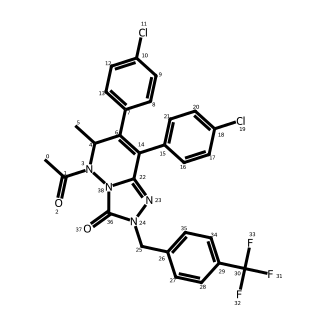 CC(=O)N1C(C)C(c2ccc(Cl)cc2)=C(c2ccc(Cl)cc2)c2nn(Cc3ccc(C(F)(F)F)cc3)c(=O)n21